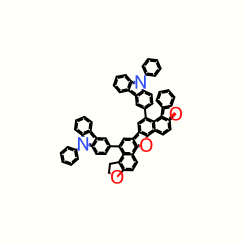 c1ccc(-n2c3ccccc3c3cc(-c4cc5c6cc(-c7ccc8c(c7)c7ccccc7n8-c7ccccc7)c7c(ccc8oc9ccccc9c87)c6oc5c5ccc6c(c45)CCO6)ccc32)cc1